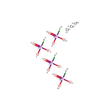 O=P([O-])([O-])F.O=P([O-])([O-])F.O=P([O-])([O-])F.O=P([O-])([O-])F.[Cs+].[Cs+].[U+6]